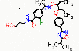 CC=C(O/N=C(\C)c1ccc(C(=O)NCCCO)c(F)c1)C(CC)Oc1ccc(-c2noc(C(C)C)n2)cc1